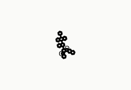 c1ccc(-c2c3ccccc3c(-c3ccc(-c4cc5oc6ccccc6c5c5c4oc4cc6ccccc6cc45)c4ccccc34)c3ccccc23)cc1